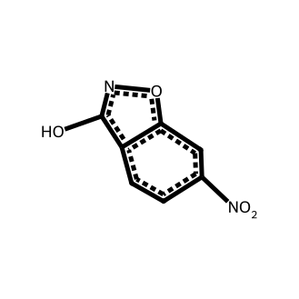 O=[N+]([O-])c1ccc2c(O)noc2c1